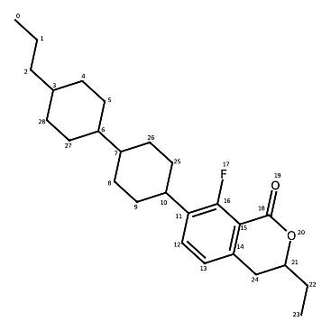 CCCC1CCC(C2CCC(c3ccc4c(c3F)C(=O)OC(CC)C4)CC2)CC1